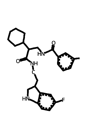 Cc1cccc(C(=O)NCC(C(=O)NCCC2CNc3ccc(F)cc32)C2CCCCC2)c1